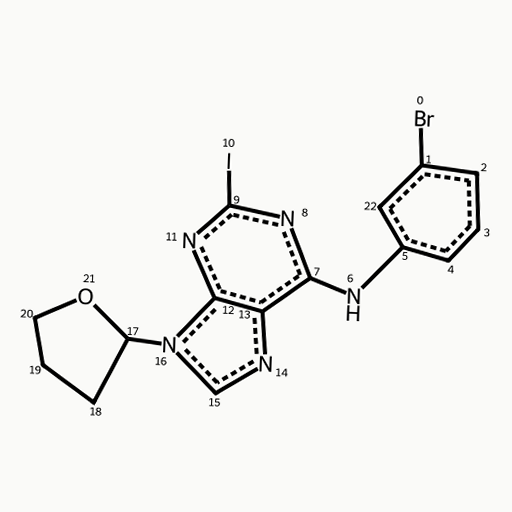 Brc1cccc(Nc2nc(I)nc3c2ncn3C2CCCO2)c1